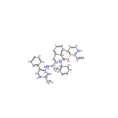 COc1cc(-c2cccc3cc([C@H](C)Nc4nc(C)ncc4-c4ccccc4)n(-c4ccccc4)c(=O)c23)ccn1